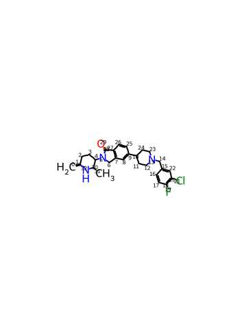 C=C1CCC(N2Cc3cc(C4CCN(Cc5ccc(F)c(Cl)c5)CC4)ccc3C2=O)C(C)N1